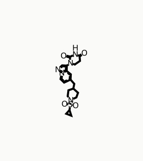 O=C1CCN(c2cnn3ccc(CC4CCN(S(=O)(=O)C5CC5)CC4)cc23)C(=O)N1